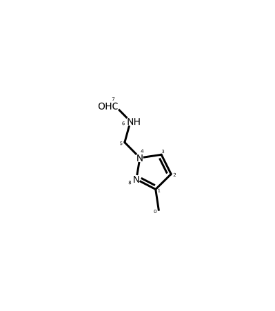 Cc1ccn(CNC=O)n1